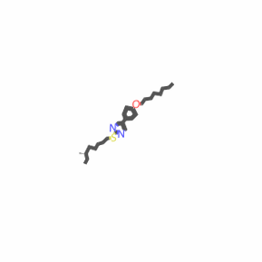 CCCCCCCCOc1ccc(-c2cnc(SCCCCC[C@@H](C)CC)nc2)cc1